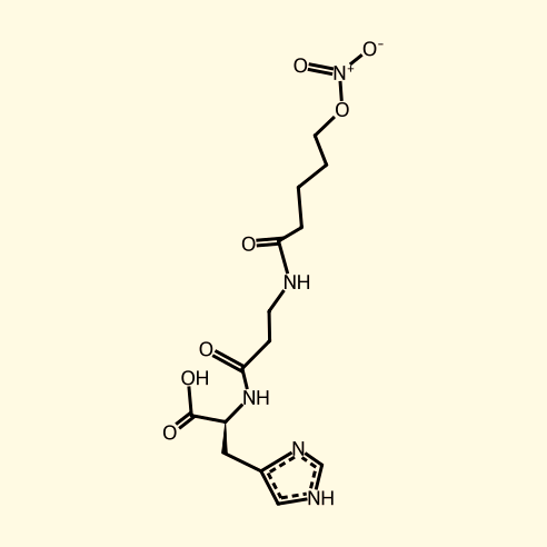 O=C(CCCCO[N+](=O)[O-])NCCC(=O)N[C@@H](Cc1c[nH]cn1)C(=O)O